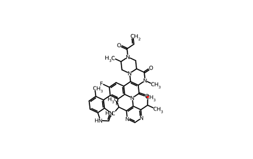 C=CC(=O)N1CC2C(=O)N(C)c3c(c4cc(F)c(-c5c(C)ccc6[nH]cnc56)c(F)c4n(-c4c(C(C)C)ncnc4C(C)C)c3=O)N2CC1C